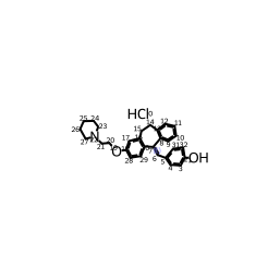 Cl.Oc1ccc(/C=C2\c3ccccc3CCc3cc(OCCN4CCCCC4)ccc32)cc1